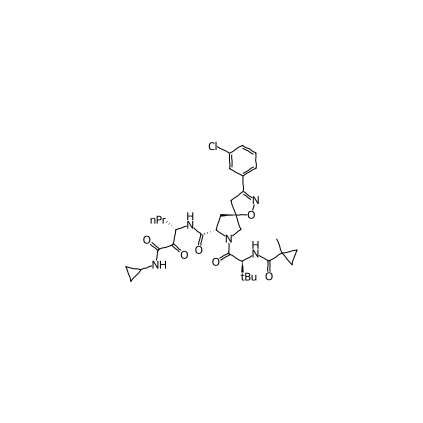 CCC[C@H](NC(=O)[C@@H]1C[C@]2(CC(c3cccc(Cl)c3)=NO2)CN1C(=O)[C@@H](NC(=O)C1(C)CC1)C(C)(C)C)C(=O)C(=O)NC1CC1